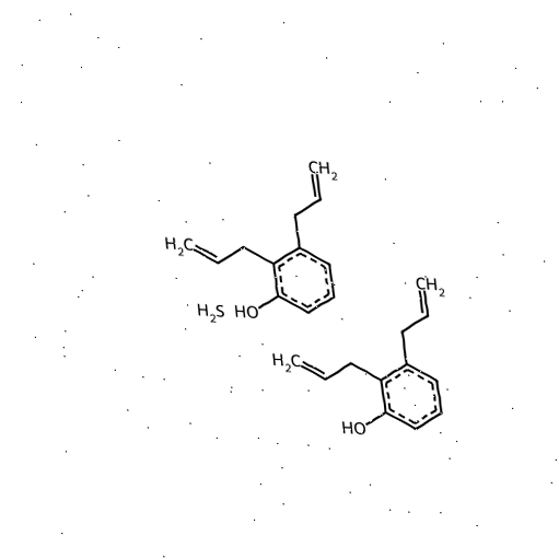 C=CCc1cccc(O)c1CC=C.C=CCc1cccc(O)c1CC=C.S